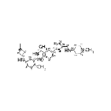 Cc1ccc(NC2CNC2)cc1C(=O)N[C@H](C)c1cccc(-c2ccc(CNC3CCN(C)CC3)s2)c1